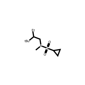 CCC(CN(C)S(=O)(=O)C1CC1)C(C)(C)C